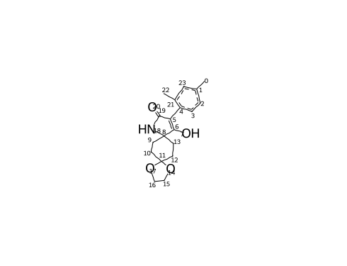 Cc1ccc(C2=C(O)C3(CCC4(CC3)OCCO4)NC2=O)c(C)c1